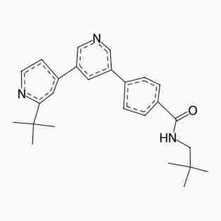 CC(C)(C)CNC(=O)c1ccc(-c2cncc(-c3ccnc(C(C)(C)C)c3)c2)cc1